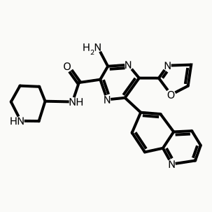 Nc1nc(-c2ncco2)c(-c2ccc3ncccc3c2)nc1C(=O)NC1CCCNC1